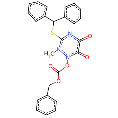 Cn1c(SC(c2ccccc2)c2ccccc2)nc(=O)c(=O)n1OC(=O)OCc1ccccc1